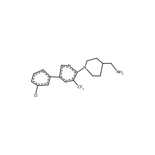 NCC1CCN(c2ncc(-c3cccc(Cl)c3)cc2C(F)(F)F)CC1